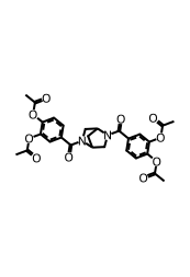 CC(=O)Oc1ccc(C(=O)N2CC3CC2CN3C(=O)c2ccc(OC(C)=O)c(OC(C)=O)c2)cc1OC(C)=O